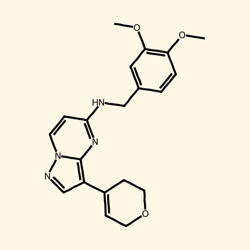 COc1ccc(CNc2ccn3ncc(C4=CCOCC4)c3n2)cc1OC